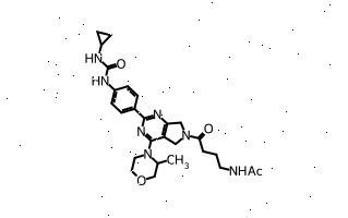 CC(=O)NCCCC(=O)N1Cc2nc(-c3ccc(NC(=O)NC4CC4)cc3)nc(N3CCOCC3C)c2C1